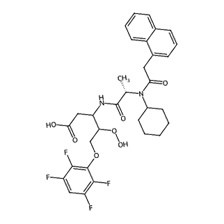 C[C@@H](C(=O)NC(CC(=O)O)C(COc1c(F)c(F)cc(F)c1F)OO)N(C(=O)Cc1cccc2ccccc12)C1CCCCC1